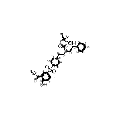 COC(=O)c1cc(S(=O)(=O)c2ccc(CCN(C[C@H](O)c3ccccc3)C(=O)OC(C)(C)C)cc2)ccc1O